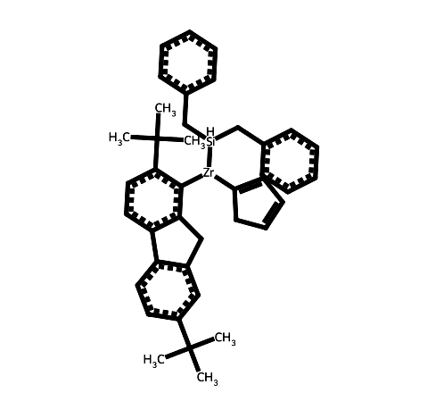 CC(C)(C)c1ccc2c(c1)Cc1c-2ccc(C(C)(C)C)[c]1[Zr]([C]1=CC=CC1)[SiH](Cc1ccccc1)Cc1ccccc1